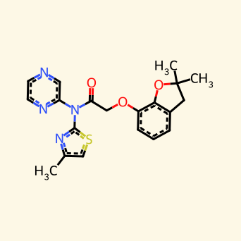 Cc1csc(N(C(=O)COc2cccc3c2OC(C)(C)C3)c2cnccn2)n1